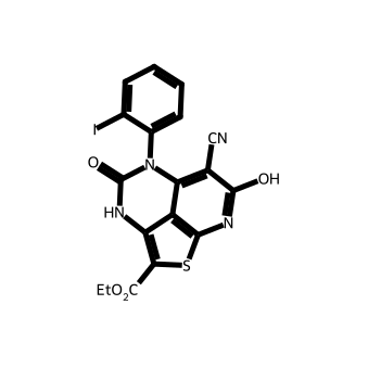 CCOC(=O)c1sc2nc(O)c(C#N)c3c2c1NC(=O)N3c1ccccc1I